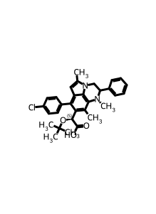 Cc1c([C@H](OC(C)(C)C)C(=O)O)c(-c2ccc(Cl)cc2)c2cc(C)n3c2c1N(C)C(c1ccccc1)C3